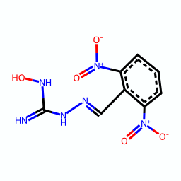 N=C(NO)NN=Cc1c([N+](=O)[O-])cccc1[N+](=O)[O-]